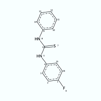 Fc1ccc(NC(=S)Nc2cc[c]cc2)cc1